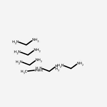 CCCC(C)C.NCN.NCN.NCN.NCN.NCN